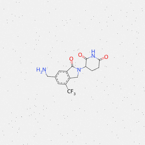 NCc1cc2c(c(C(F)(F)F)c1)CN(C1CCC(=O)NC1=O)C2=O